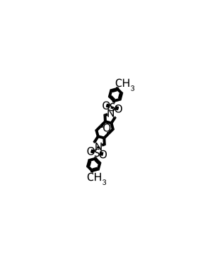 Cc1ccc(S(=O)(=O)N2CC3CC4OC(CC5CN(S(=O)(=O)c6ccc(C)cc6)CC54)C3C2)cc1